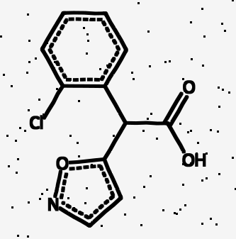 O=C(O)C(c1ccno1)c1ccccc1Cl